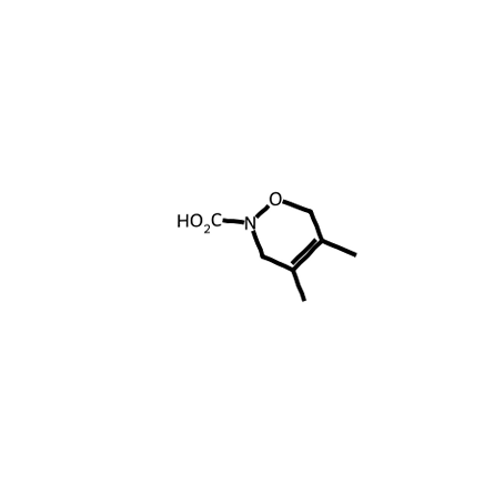 CC1=C(C)CN(C(=O)O)OC1